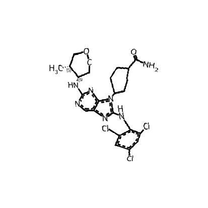 C[C@@H]1COCC[C@@H]1Nc1ncc2nc(Nc3c(Cl)cc(Cl)cc3Cl)n(C3CCC(C(N)=O)CC3)c2n1